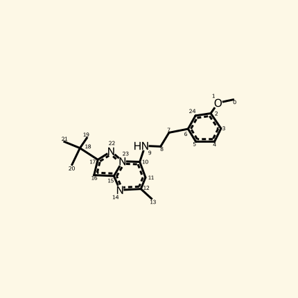 COc1cccc(CCNc2cc(C)nc3cc(C(C)(C)C)nn23)c1